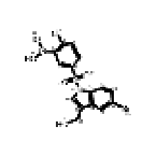 O=S(=O)(c1ccc(Cl)c(N(O)O)c1)n1cc(CO)c2cc(Br)ccc21